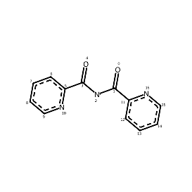 O=C([N]C(=O)c1ccccn1)c1ccccn1